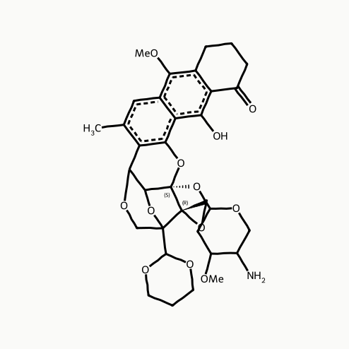 COc1c2c(c(O)c3c4c(c(C)cc13)C1OCC3(C5OCCCO5)OC1[C@@](OC1CC(OC)C(N)CO1)(O4)[C@@]31CO1)C(=O)CCC2